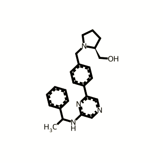 CC(Nc1cncc(-c2ccc(CN3CCC[C@H]3CO)cc2)n1)c1ccccc1